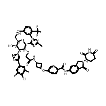 Cc1nc([C@@H]2O[C@H](CO)[C@H](O)[C@H](n3cc(-c4cc(F)c(Cl)c(F)c4)nn3)[C@H]2OCC(=O)N[C@H]2C[C@@H](Oc3ccc(C(=O)Nc4ccc5c(c4)CN([C@@H]4CCC(=O)NC4=O)C5=O)nc3)C2)n(-c2cc(Cl)ccc2C(F)(F)F)n1